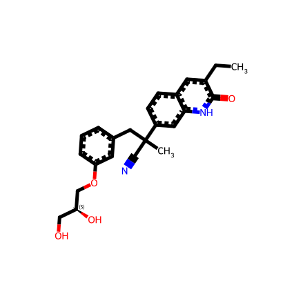 CCc1cc2ccc(C(C)(C#N)Cc3cccc(OC[C@@H](O)CO)c3)cc2[nH]c1=O